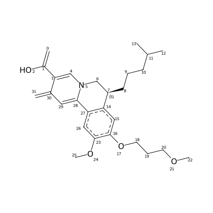 C=C(O)C1=CN2C[C@@H](CCCC(C)C)c3cc(OCCCOC)c(OC)cc3C2=CC1=C